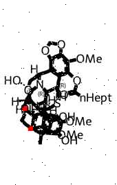 CCCCCCCC(=O)Oc1c(OC)c2c(c3c1[C@H]1SC[C@]4(NCCc5cc(O)c(OC)cc54)C(=O)OC[C@@H]3N3[C@@H]1[C@H]1c4c(cc(C)c(OC)c4O)C[C@H]([C@@H]3O)N1C)OCO2